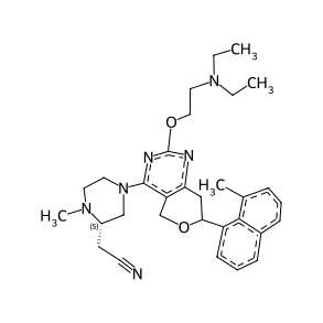 CCN(CC)CCOc1nc2c(c(N3CCN(C)[C@@H](CC#N)C3)n1)COC(c1cccc3cccc(C)c13)C2